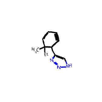 CCC1(C)C=CC=CC1c1c[nH]nn1